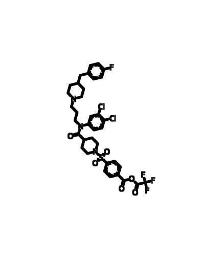 O=C(OC(=O)C(F)(F)F)c1ccc(S(=O)(=O)N2CCC(C(=O)N(CCCN3CCC(Cc4ccc(F)cc4)CC3)c3ccc(Cl)c(Cl)c3)CC2)cc1